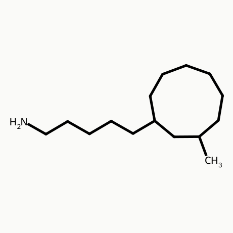 CC1CCCCCCC(CCCCCN)C1